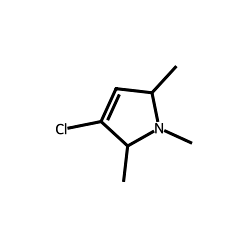 CC1C=C(Cl)C(C)N1C